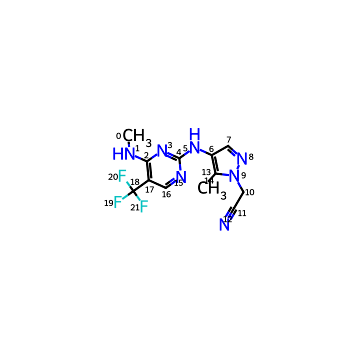 CNc1nc(Nc2cnn(CC#N)c2C)ncc1C(F)(F)F